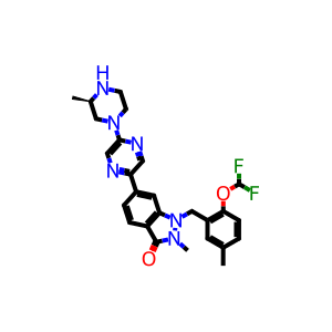 Cc1ccc(OC(F)F)c(Cn2c3cc(-c4cnc(N5CCN[C@H](C)C5)cn4)ccc3c(=O)n2C)c1